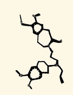 C=CCN(CCCN1CCc2cc(OC)c(OC)cc2CC1=O)C1CCc2cc(OC)c(OC)cc2C1